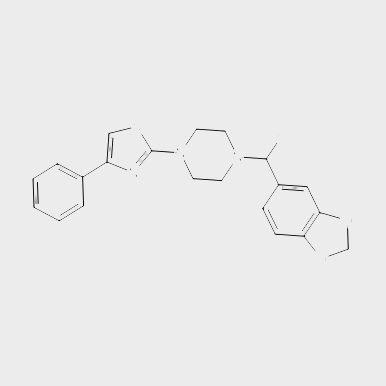 CC(c1ccc2c(c1)OCO2)N1CCN(c2nc(-c3ccccc3)cs2)CC1